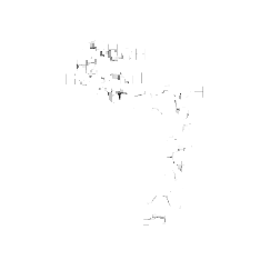 CC(=Cc1ccc(O[C@H]2CC[C@@H](C(C)=NOCc3ccc(F)c(F)c3)C2)c(O)c1)C(=O)N[C@@H]1[C@H](O)[C@@H](O)[C@H]2OCO[C@H]2[C@@H]1O